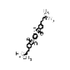 CC(C)=CCCC1=CCC2C(=O)N(c3ccc(N4C(=O)C5CC=C(CCC=C(C)C)CC5C4=O)cc3)C(=O)C2C1